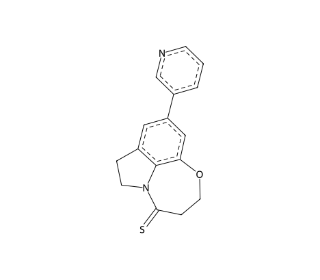 S=C1CCOc2cc(-c3cccnc3)cc3c2N1CC3